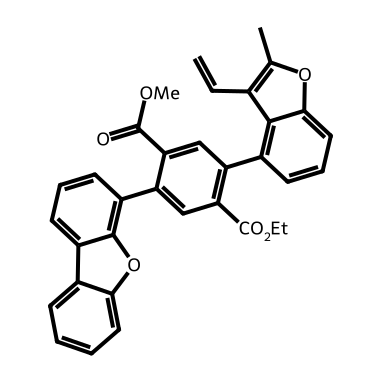 C=Cc1c(C)oc2cccc(-c3cc(C(=O)OC)c(-c4cccc5c4oc4ccccc45)cc3C(=O)OCC)c12